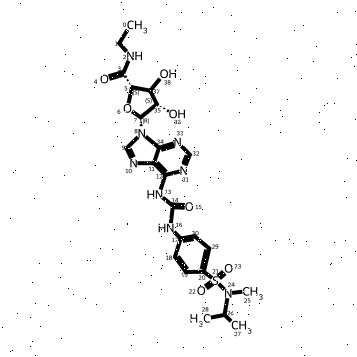 CCNC(=O)[C@H]1O[C@@H](n2cnc3c(NC(=O)Nc4ccc(S(=O)(=O)N(C)C(C)C)cc4)ncnc32)[C@@H](O)C1O